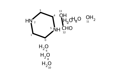 C1CNCCN1.O.O.O.O.O.O.O=CO